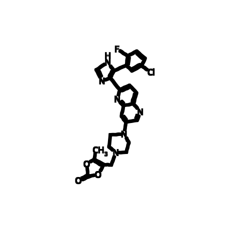 Cc1oc(=O)oc1CN1CCN(c2cnc3ccc(-c4nc[nH]c4-c4cc(Cl)ccc4F)nc3c2)CC1